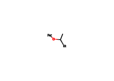 CCC(C)[O][Fe+]